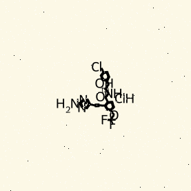 Cl.Nc1ncc(C#Cc2cc(OC(F)F)ccc2C(=O)N[C@H](CO)Cc2ccc(Cl)cc2)cn1